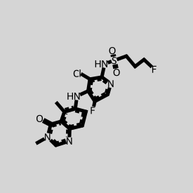 Cc1c(Nc2c(F)cnc(NS(=O)(=O)CCCF)c2Cl)ccc2ncn(C)c(=O)c12